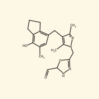 Cc1cc(Cc2c(C)nn(CC3=NNC(C=O)O3)c2C)c2c(c1O)CCC2